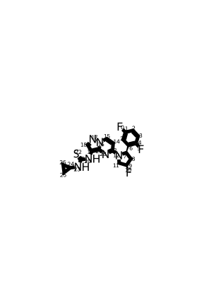 Fc1ccc(F)c([C@H]2C[C@@H](F)CN2c2ccn3ncc(NC(=S)NC4CC4)c3n2)c1